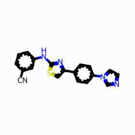 N#Cc1cccc(Nc2nc(-c3ccc(-n4ccnc4)cc3)cs2)c1